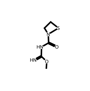 COC(=N)NC(=O)N1CCS1